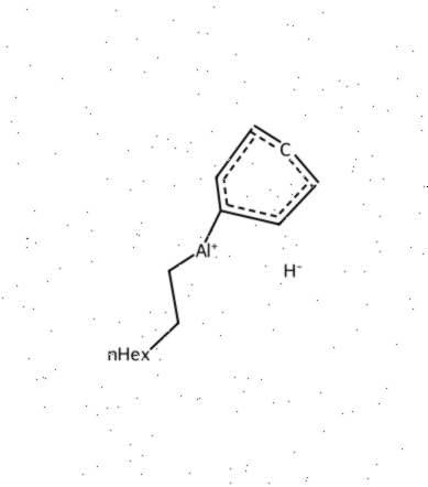 CCCCCCC[CH2][Al+][c]1ccccc1.[H-]